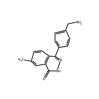 Cc1ccc2c(-c3ccc(CN)cc3)n[nH]c(=O)c2c1